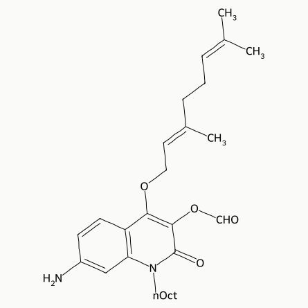 CCCCCCCCn1c(=O)c(OC=O)c(OC/C=C(\C)CCC=C(C)C)c2ccc(N)cc21